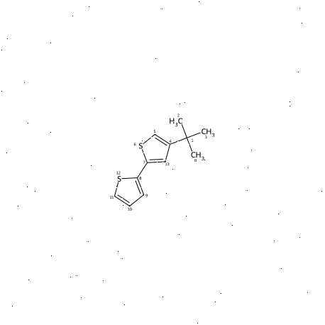 CC(C)(C)c1csc(-c2cccs2)c1